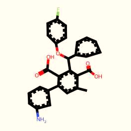 Cc1cc(-c2cccc(N)c2)c(C(=O)O)c(C(Oc2ccc(F)cc2)c2ccccc2)c1C(=O)O